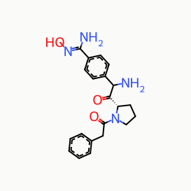 NC(=NO)c1ccc(C(N)C(=O)[C@@H]2CCCN2C(=O)Cc2ccccc2)cc1